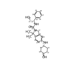 CC1(C)c2cnc(N[C@H]3CC[C@H](O)CC3)nc2CN1C(=O)N[C@H](CO)c1ccccc1